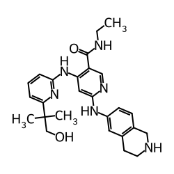 CCNC(=O)c1cnc(Nc2ccc3c(c2)CCNC3)cc1Nc1cccc(C(C)(C)CO)n1